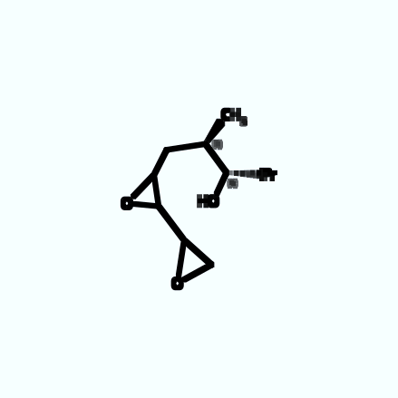 CC(C)[C@H](O)[C@H](C)CC1OC1C1CO1